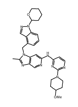 COC1CCN(c2nccc(Nc3cc4c(cn3)nc(C)n4Cc3cccc4c3cnn4C3CCCCO3)n2)CC1